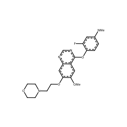 CNc1ccc(Oc2ncnc3cc(OCCN4CCOCC4)c(OC)cc23)c(F)c1